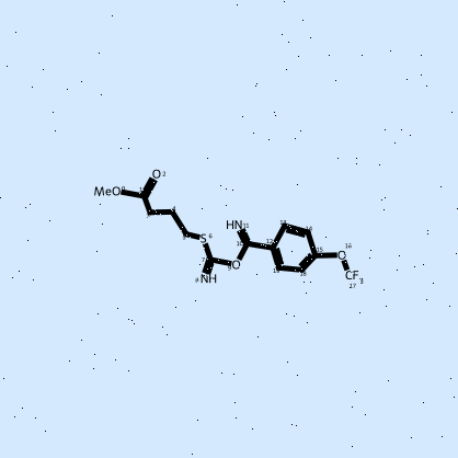 COC(=O)CCCSC(=N)OC(=N)c1ccc(OC(F)(F)F)cc1